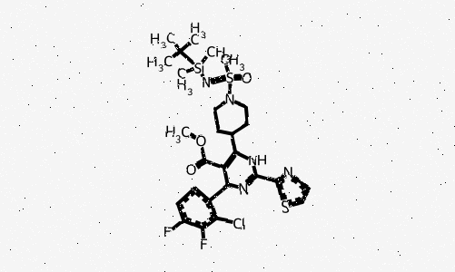 COC(=O)C1=C(C2CCN(S(C)(=O)=N[Si](C)(C)C(C)(C)C)CC2)NC(c2nccs2)=NC1c1ccc(F)c(F)c1Cl